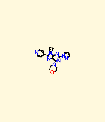 CCn1c(-c2ccncc2)nc2c(N3CCOCC3)nc(-n3cccn3)nc21